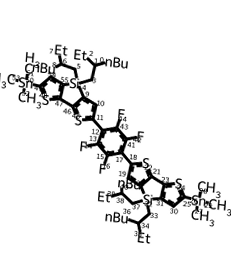 CCCCC(CC)C[Si]1(CC(CC)CCCC)c2cc(-c3c(F)c(F)c(-c4cc5c(s4)-c4s[c]([Sn]([CH3])([CH3])[CH3])cc4[Si]5(CC(CC)CCCC)CC(CC)CCCC)c(F)c3F)sc2-c2s[c]([Sn]([CH3])([CH3])[CH3])cc21